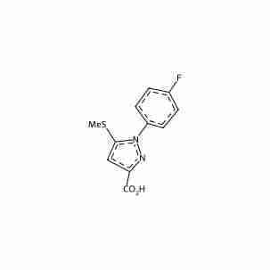 CSc1cc(C(=O)O)nn1-c1ccc(F)cc1